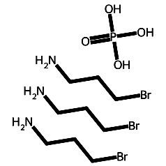 NCCCBr.NCCCBr.NCCCBr.O=P(O)(O)O